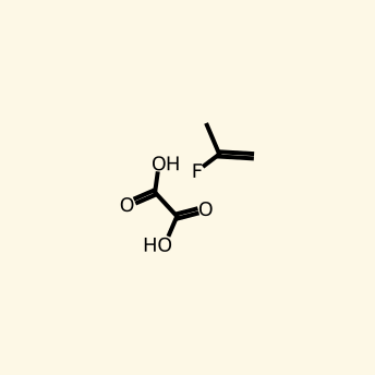 C=C(C)F.O=C(O)C(=O)O